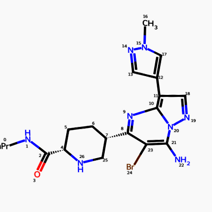 CCCNC(=O)[C@@H]1CC[C@H](c2nc3c(-c4cnn(C)c4)cnn3c(N)c2Br)CN1